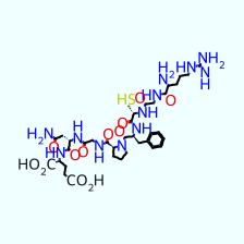 N=C(N)NCCC[C@H](N)C(=O)NCC(=O)N[C@@H](CS)C(=O)N[C@@H](Cc1ccccc1)C(=O)N1CCC[C@H]1C(=O)NCC(=O)N[C@@H](CC(N)=O)C(=O)N[C@@H](CCC(=O)O)C(=O)O